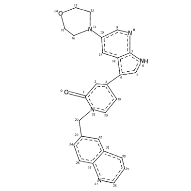 O=c1cc(-c2c[nH]c3ncc(N4CCOCC4)cc23)ccn1Cc1ccc2ncccc2c1